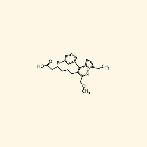 CCc1ccc2c(-c3cncc(Br)c3)c(CCCCCC(=O)O)c(COC)nn12